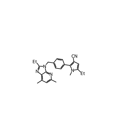 CCc1cc(C#N)c(-c2ccc(Cn3c(CC)nc4c(C)cc(C)nc43)cc2)n1C